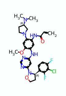 C=CC(=O)Nc1cc(Nc2cc(N3OCC[C@@H]3c3ccc(F)c(Cl)c3F)ncn2)c(OC)cc1N1CC[C@@H](N(C)C)C1